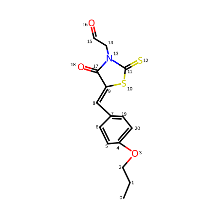 CCCOc1ccc(/C=C2\SC(=S)N(CC=O)C2=O)cc1